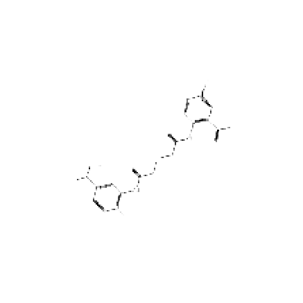 Cc1ccc(C(C)C)cc1NC(=O)COCC(=O)Nc1ccc(Cl)cc1C(=O)O